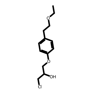 CCOCCc1ccc(OCC(O)CCl)cc1